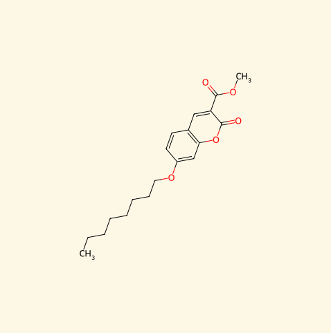 CCCCCCCCOc1ccc2cc(C(=O)OC)c(=O)oc2c1